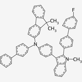 Cn1c(-c2ccc(-c3ccc(F)cc3)cc2)c(-c2ccc(N(c3ccc(-c4ccccc4)cc3)c3ccc4c(c3)C(C)(C)c3ccccc3-4)cc2)c2ccccc21